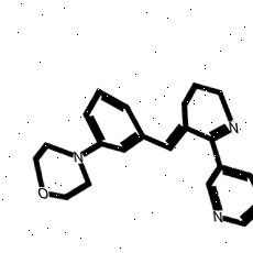 C(=C1CCCN=C1c1cccnc1)c1cccc(N2CCOCC2)c1